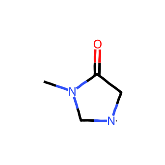 CN1C[N]CC1=O